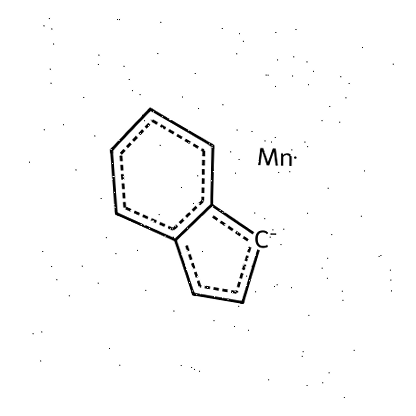 [Mn].c1ccc2[cH-]ccc2c1